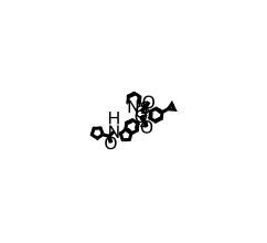 O=C(NC1CCc2cc(S(=O)(=O)c3ccc(C4CC4)cc3S(=O)(=O)c3ccccn3)ccc21)C1CCCC1